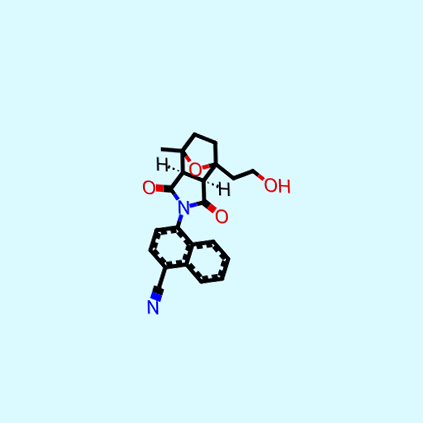 CC12CCC(CCO)(O1)[C@H]1C(=O)N(c3ccc(C#N)c4ccccc34)C(=O)[C@H]12